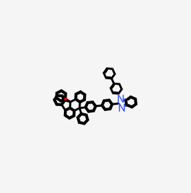 C1=CCCC(C2=CC=C(n3c(-c4ccc(-c5ccc(C6(c7ccccc7)c7ccccc7C7(c8ccccc8)c8ccccc8-c8cccc6c87)cc5)cc4)nc4ccccc43)CC2)=C1